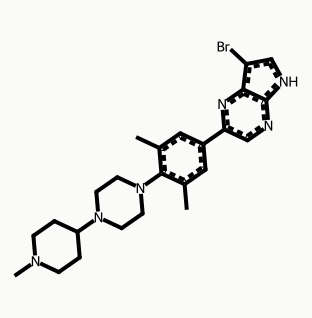 Cc1cc(-c2cnc3[nH]cc(Br)c3n2)cc(C)c1N1CCN(C2CCN(C)CC2)CC1